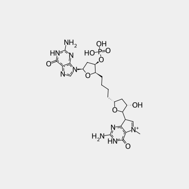 C[N+]1=CC(C2O[C@H](CCCC[C@H]3O[C@@H](n4cnc5c(=O)[nH]c(N)nc54)C[C@H]3OP(=O)(O)O)C[C@@H]2O)c2nc(N)[nH]c(=O)c21